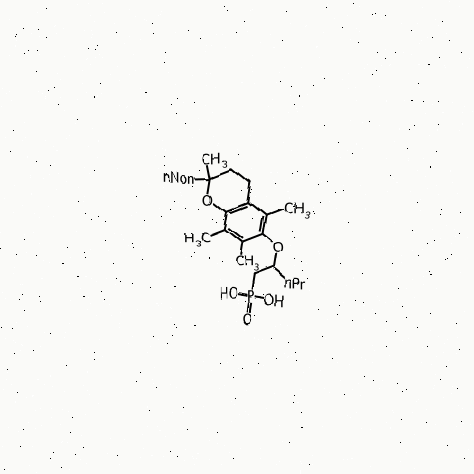 CCCCCCCCCC1(C)CCc2c(C)c(OC(CCC)CP(=O)(O)O)c(C)c(C)c2O1